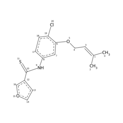 CC(C)=CCOc1cc(NC(=S)c2ccoc2)ccc1Cl